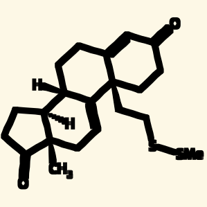 CSSCC[C@]12CCC(=O)C=C1CC[C@@H]1C2=CC[C@]2(C)C(=O)CC[C@@H]12